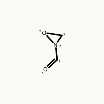 O=CN1CO1